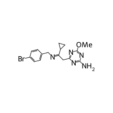 COc1nc(N)nc(C/C(=N/Cc2ccc(Br)cc2)C2CC2)n1